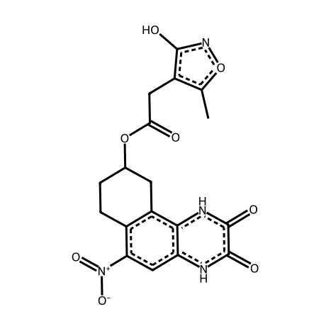 Cc1onc(O)c1CC(=O)OC1CCc2c([N+](=O)[O-])cc3[nH]c(=O)c(=O)[nH]c3c2C1